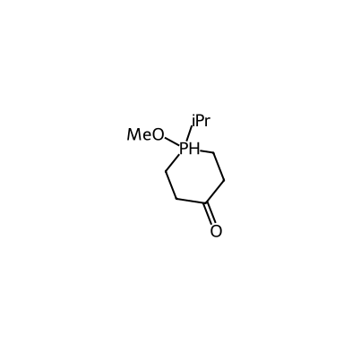 CO[PH]1(C(C)C)CCC(=O)CC1